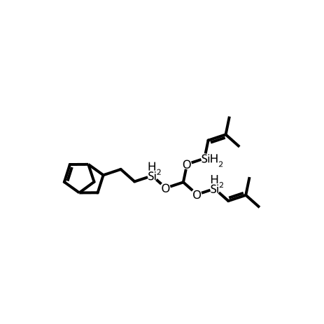 CC(C)=C[SiH2]OC(O[SiH2]C=C(C)C)O[SiH2]CCC1CC2C=CC1C2